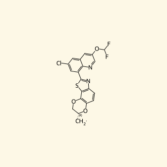 [CH2][C@@H]1COc2c(ccc3nc(-c4cc(Cl)cc5cc(OC(F)F)cnc45)sc23)O1